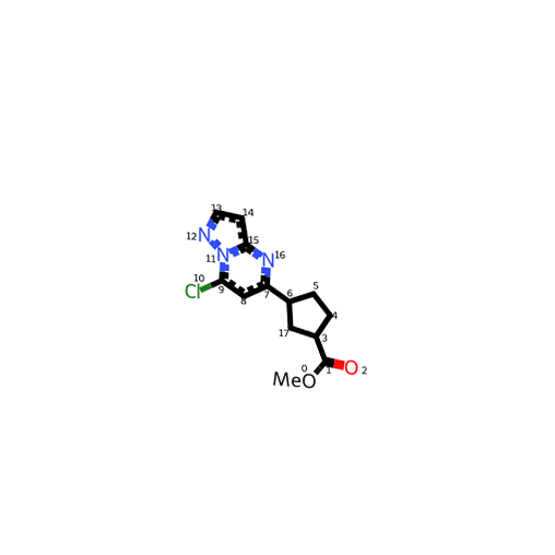 COC(=O)C1CCC(c2cc(Cl)n3nccc3n2)C1